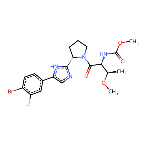 COC(=O)N[C@H](C(=O)N1CCC[C@H]1c1ncc(-c2ccc(Br)c(F)c2)[nH]1)[C@@H](C)OC